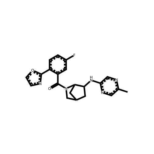 Cc1cnc(NC2CC3CC2N(C(=O)c2cc(F)ccc2-c2ncco2)C3)cn1